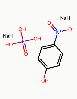 O=P(O)(O)O.O=[N+]([O-])c1ccc(O)cc1.[NaH].[NaH]